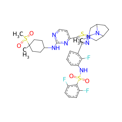 CN1CC2CCC(C1)N2c1nc(-c2cccc(NS(=O)(=O)c3c(F)cccc3F)c2F)c(-c2ccnc(NC3CCC(C)(S(C)(=O)=O)CC3)n2)s1